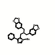 CCCCn1cnc(-c2ccccc2)c1CN(Cc1ccc2c(c1)OCO2)Cc1ccc2c(c1)OCO2